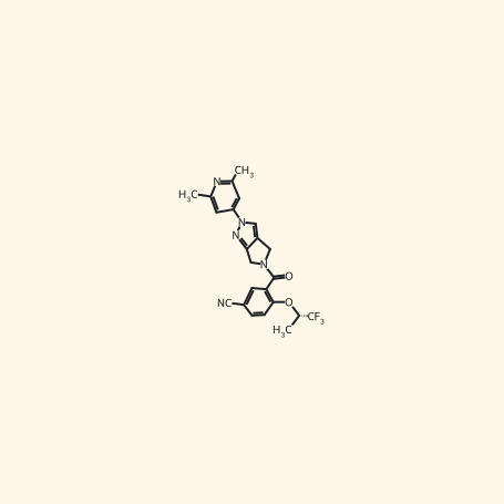 Cc1cc(-n2cc3c(n2)CN(C(=O)c2cc(C#N)ccc2O[C@@H](C)C(F)(F)F)C3)cc(C)n1